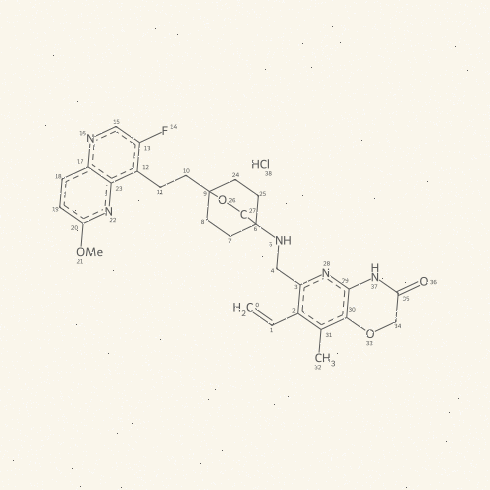 C=Cc1c(CNC23CCC(CCc4c(F)cnc5ccc(OC)nc45)(CC2)OC3)nc2c(c1C)OCC(=O)N2.Cl